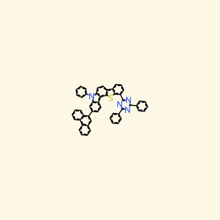 c1ccc(-c2nc(-c3ccccc3)nc(-c3cccc4c3sc3c4ccc4c3c3ccc(-c5cc6ccccc6c6ccccc56)cc3n4-c3ccccc3)n2)cc1